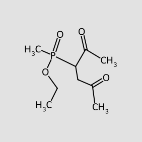 CCOP(C)(=O)C(CC(C)=O)C(C)=O